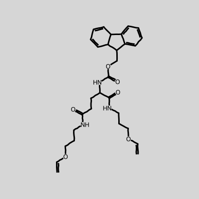 C=COCCCNC(=O)CCC(NC(=O)OCC1c2ccccc2C2C=CC=CC21)C(=O)NCCCOC=C